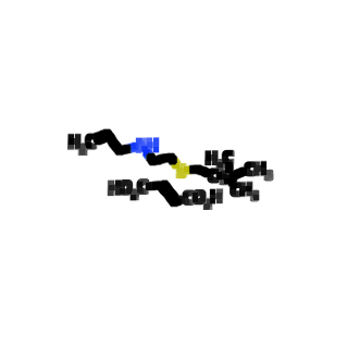 C=CCNCCSCC[Si](C)(C)C.O=C(O)C=CC(=O)O